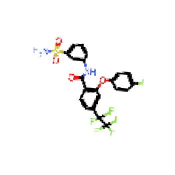 NS(=O)(=O)c1cccc(NC(=O)c2ccc(C(F)(F)C(F)(F)F)cc2Oc2ccc(F)cc2)c1